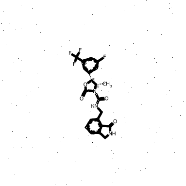 C[C@H]1[C@@H](c2cc(F)cc(C(F)(F)F)c2)OC(=O)N1C(=O)NCc1cccc2c1C(=O)NC2